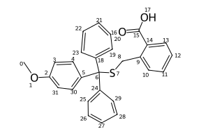 COc1ccc(C(SCc2ccccc2C(=O)O)(c2ccccc2)c2ccccc2)cc1